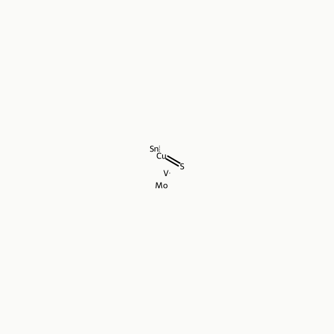 [Mo].[S]=[Cu].[Sn].[V]